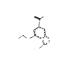 CCOc1cc(C(N)=O)cc2nnc(C)n12